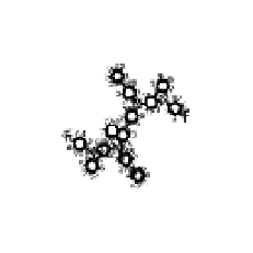 Fc1ccc(-n2c3ccccc3c3cc(N(c4ccc(-c5ccccc5)cc4)c4ccc(-c5ccc(N(c6ccc(-c7ccccc7)cc6)c6ccc7c(c6)c6ccccc6n7-c6ccc(F)cc6)c6ccccc56)cc4)ccc32)cc1